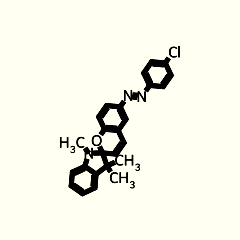 CN1c2ccccc2C(C)(C)C12C=Cc1cc(N=Nc3ccc(Cl)cc3)ccc1O2